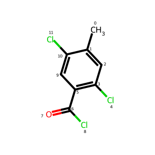 Cc1cc(Cl)c(C(=O)Cl)cc1Cl